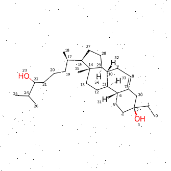 CC[C@]1(O)CC[C@H]2C(=CC[C@@H]3[C@@H]2CC[C@]2(C)[C@@H]([C@H](C)CCCC(O)C(C)C)CC[C@@H]32)C1